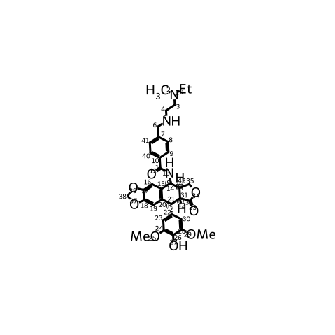 CCN(C)CCNCc1ccc(C(=O)N[C@@H]2c3cc4c(cc3[C@@H](c3cc(OC)c(O)c(OC)c3)[C@H]3C(=O)OC[C@@H]32)OCO4)cc1